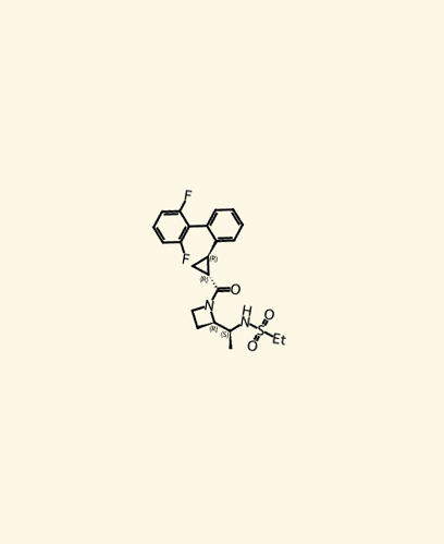 CCS(=O)(=O)N[C@@H](C)[C@H]1CCN1C(=O)[C@@H]1C[C@H]1c1ccccc1-c1c(F)cccc1F